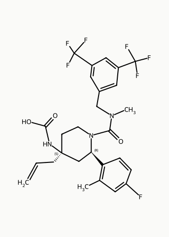 C=CC[C@]1(NC(=O)O)CCN(C(=O)N(C)Cc2cc(C(F)(F)F)cc(C(F)(F)F)c2)[C@@H](c2ccc(F)cc2C)C1